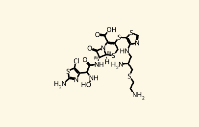 NCCSCC(N)CNc1ncsc1SC1=C(C(=O)O)N2C(=O)[C@@H](NC(=O)C(NO)c3nc(N)sc3Cl)[C@@H]2SC1